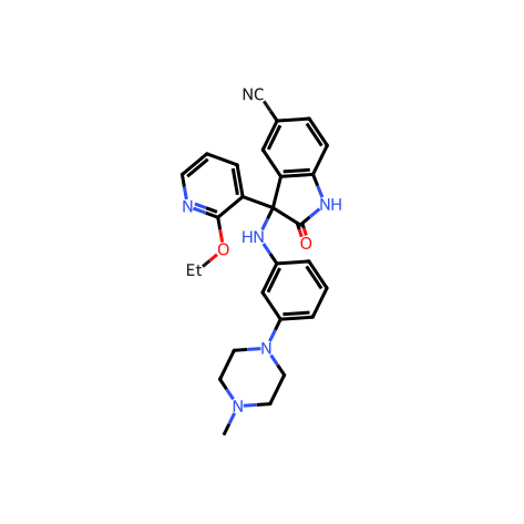 CCOc1ncccc1C1(Nc2cccc(N3CCN(C)CC3)c2)C(=O)Nc2ccc(C#N)cc21